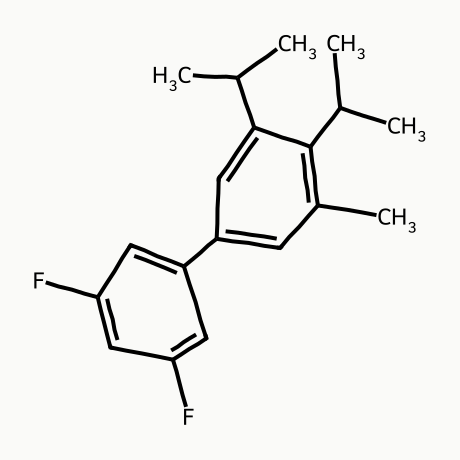 Cc1cc(-c2cc(F)cc(F)c2)cc(C(C)C)c1C(C)C